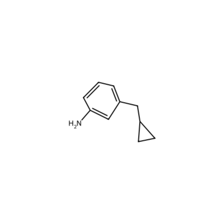 Nc1cccc(CC2CC2)c1